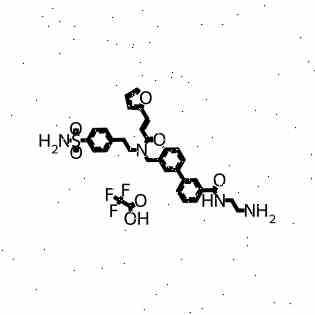 NCCNC(=O)c1cccc(-c2cccc(CN(CCc3ccc(S(N)(=O)=O)cc3)C(=O)C=Cc3ccco3)c2)c1.O=C(O)C(F)(F)F